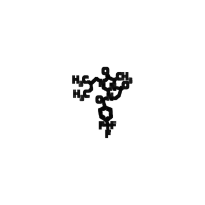 CCC(C)CN1CC2N(C(=O)c3ccc(C(F)(F)F)cc3)CCC(=O)N2[C@H](C)C1=O